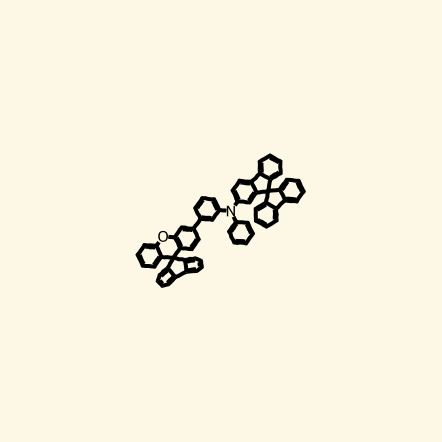 c1ccc(N(c2cccc(-c3ccc4c(c3)Oc3ccccc3C43c4ccccc4-c4ccccc43)c2)c2ccc3c(c2)C2(c4ccccc4-c4ccccc42)c2ccccc2-3)cc1